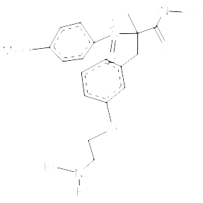 CCN(CC)CCOc1cccc(CC(C)(C(=O)NO)S(=O)(=O)c2ccc(OC)cc2)c1